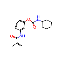 C=C(C)C(=O)Nc1cccc(OC(=O)NC2CCCCC2)c1